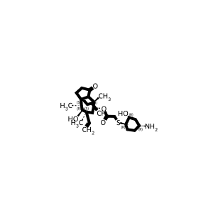 C=C[C@]1(C)C[C@@H](OC(=O)CS[C@@H]2CC[C@@H](N)C[C@H]2O)[C@]2(C)C(C)CC[C@]3(CCC(=O)C32)[C@@H](C)[C@@H]1O